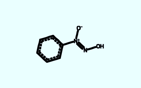 [O-][N+](=NO)c1ccccc1